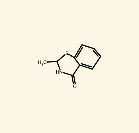 CC1NC(=O)c2ccccc2S1